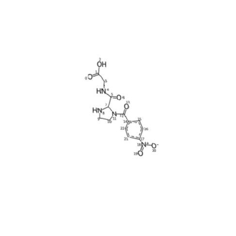 O=C(O)CNC(=O)C1NCCN1C(=O)c1ccc([N+](=O)[O-])cc1